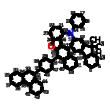 CC1(C)c2ccccc2-c2ccc(N(c3ccccc3)c3cccc4oc5c(-c6ccc(-c7cc8ccccc8c8ccccc78)cc6)c6ccccc6cc5c34)cc21